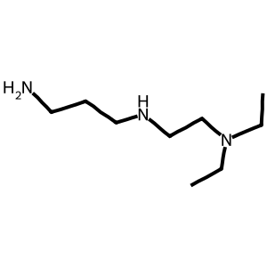 CCN(CC)CCNCCCN